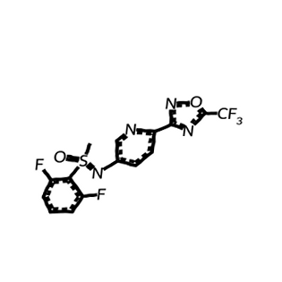 CS(=O)(=Nc1ccc(-c2noc(C(F)(F)F)n2)nc1)c1c(F)cccc1F